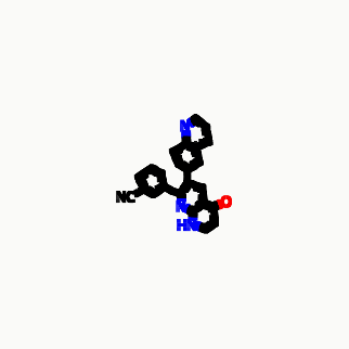 N#Cc1cccc(-c2nc3[nH]ccc(=O)c3cc2-c2ccc3ncccc3c2)c1